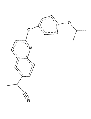 CC(C)Oc1ccc(Oc2ccc3cc(C(C)C#N)ccc3n2)cc1